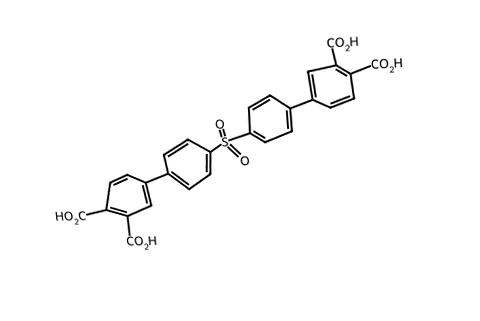 O=C(O)c1ccc(-c2ccc(S(=O)(=O)c3ccc(-c4ccc(C(=O)O)c(C(=O)O)c4)cc3)cc2)cc1C(=O)O